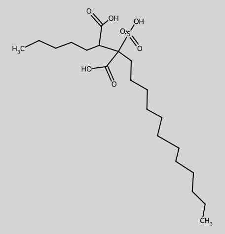 CCCCCCCCCCCCC(C(=O)O)(C(CCCCC)C(=O)O)S(=O)(=O)O